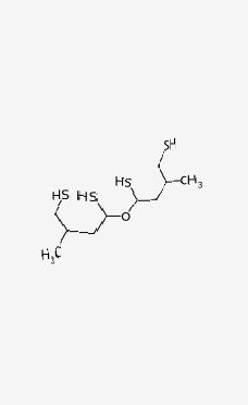 CC(CS)CC(S)OC(S)CC(C)CS